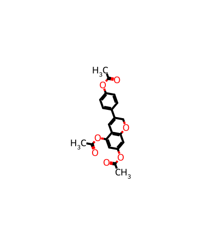 CC(=O)Oc1ccc(C2=Cc3c(cc(OC(C)=O)cc3OC(C)=O)OC2)cc1